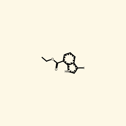 CCOC(=O)c1cccc2c(I)c[nH]c12